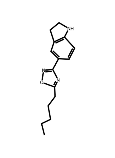 CCCCCc1nc(-c2ccc3c(c2)CCN3)no1